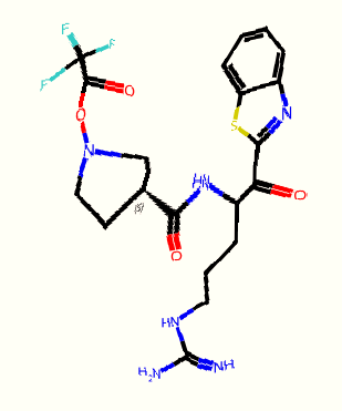 N=C(N)NCCCC(NC(=O)[C@H]1CCN(OC(=O)C(F)(F)F)C1)C(=O)c1nc2ccccc2s1